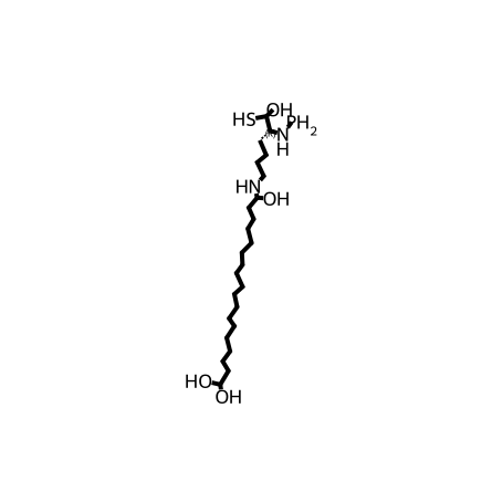 OC(O)CCCCCCCCCCCCCCCCC(O)NCCCC[C@@H](NP)C(O)S